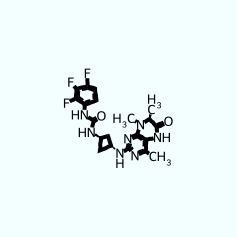 Cc1nc(N[C@H]2C[C@H](NC(=O)Nc3ccc(F)c(F)c3F)C2)nc2c1NC(=O)[C@H](C)N2C